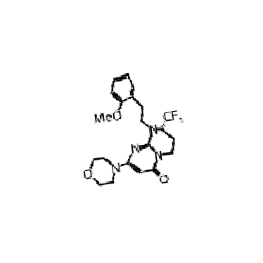 COc1ccccc1CCN1c2nc(N3CCOCC3)cc(=O)n2CC[C@H]1C(F)(F)F